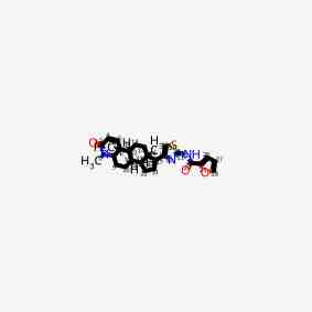 CN1C(=O)C=C[C@@]2(C)C1CC[C@@H]1[C@H]2CC[C@]2(C)C(c3csc(NC(=O)c4ccco4)n3)CC[C@@H]12